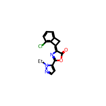 CCn1nccc1C1=NC(=C2Cc3cccc(Cl)c32)C(=O)O1